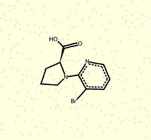 O=C(O)[C@@H]1CCCN1c1ncccc1Br